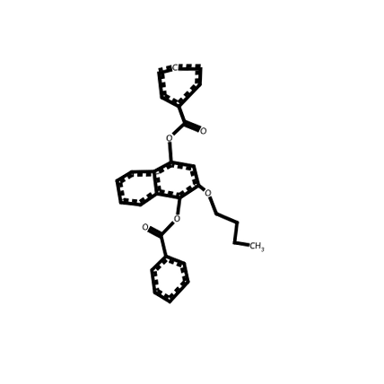 CCCCOc1cc(OC(=O)c2ccccc2)c2ccccc2c1OC(=O)c1ccccc1